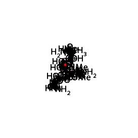 CNC(=O)CC1[C@@H](O)C(n2c[n+](C)c3c(=O)[nH]c(N)nc32)O[C@@H]1COP(=O)(O)OP(=O)(O)OP(=O)(O)OC[C@H]1O[C@@H](n2cnc3c(N)ncnc32)[C@H](OC)[C@@H]1OP(=O)([O-])OC[C@H]1O[C@@H](n2cnc3c(=O)[nH]c(N)nc32)[C@H](O)[C@@H]1O